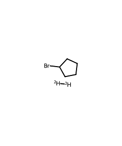 BrC1CCCC1.[2H][2H]